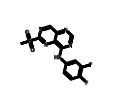 CS(=O)(=O)c1ncc2ncnc(Nc3ccc(F)c(F)c3)c2n1